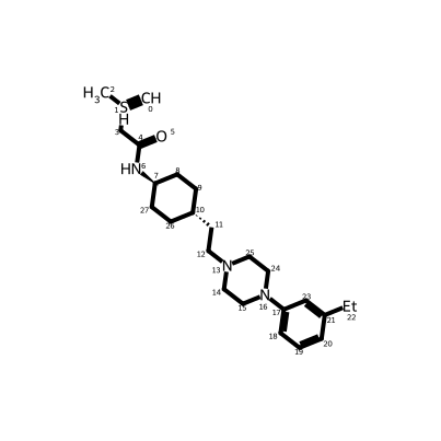 C#[SH](C)CC(=O)N[C@H]1CC[C@H](CCN2CCN(c3cccc(CC)c3)CC2)CC1